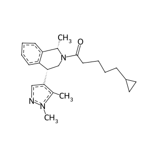 Cc1c([C@H]2CN(C(=O)CCCCC3CC3)[C@@H](C)c3ccccc32)cnn1C